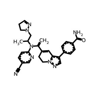 C=C(C1=Cc2c(-c3ccc(C(N)=O)cc3)cnn2CC1)N(c1ccc(C#N)cn1)C(C)CN1CCC=N1